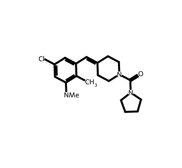 CNc1cc(Cl)cc(C=C2CCN(C(=O)N3CCCC3)CC2)c1C